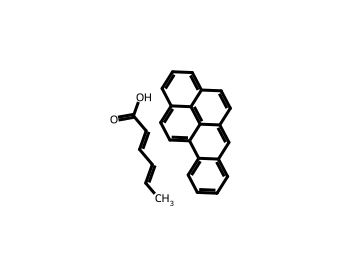 CC=CC=CC(=O)O.c1ccc2c(c1)cc1ccc3cccc4ccc2c1c34